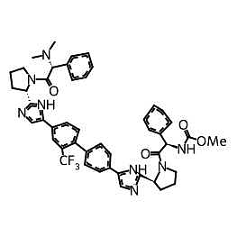 COC(=O)N[C@@H](C(=O)N1CCC[C@H]1c1ncc(-c2ccc(-c3ccc(-c4cnc([C@@H]5CCCN5C(=O)[C@@H](c5ccccc5)N(C)C)[nH]4)cc3C(F)(F)F)cc2)[nH]1)c1ccccc1